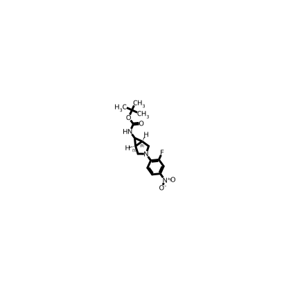 CC(C)(C)OC(=O)NC1[C@H]2CN(c3ccc([N+](=O)[O-])cc3F)C[C@@H]12